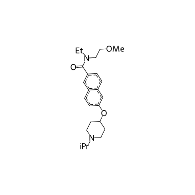 CCN(CCOC)C(=O)c1ccc2cc(OC3CCN(C(C)C)CC3)ccc2c1